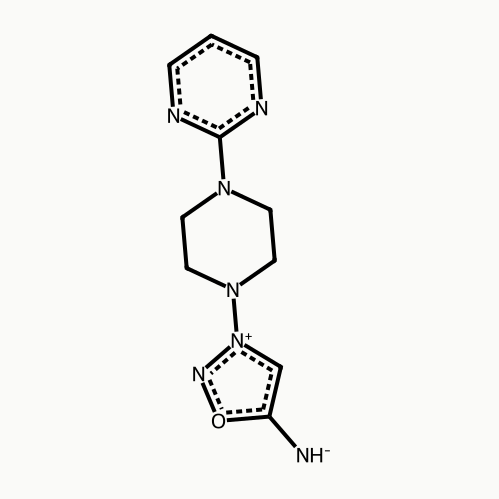 [NH-]c1c[n+](N2CCN(c3ncccn3)CC2)no1